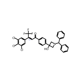 O=C(/C=C(/c1cc(Cl)c(Cl)c(Cl)c1)C(F)(F)F)c1ccc(C2(O)CN(C(c3ccccc3)c3ccccc3)C2)cc1